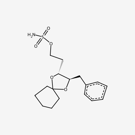 NS(=O)(=O)OCC[C@H]1OC2(CCCCC2)O[C@@H]1Cc1ccccc1